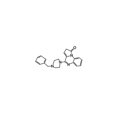 O=C1CC=C2C(N3CCN(Cc4ccccc4)CC3)=Nc3ccccc3N12